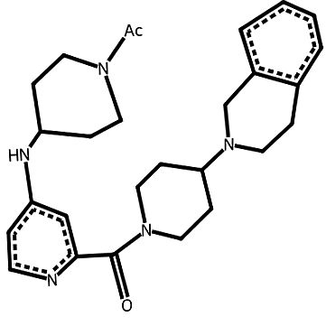 CC(=O)N1CCC(Nc2ccnc(C(=O)N3CCC(N4CCc5ccccc5C4)CC3)c2)CC1